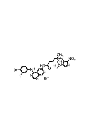 Cn1cnc([N+](=O)[O-])c1C[N+](C)(C)C/C=C/C(=O)Nc1cc2c(Nc3ccc(Br)c(F)c3)ncnc2cn1.[Br-]